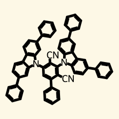 N#Cc1c(-c2ccccc2)cc(-n2c3cc(-c4ccccc4)ccc3c3ccc(-c4ccccc4)cc32)c(C#N)c1-n1c2ccc(-c3ccccc3)cc2c2cc(-c3ccccc3)ccc21